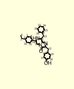 CCc1ccc(-c2cn3c(=O)c(Cc4ccc(O)cc4)nc-3c(Cc3ccccc3)[nH]2)cc1